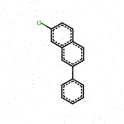 Clc1ccc2ccc(-c3[c]cccc3)cc2c1